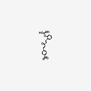 O=C(/C=C/c1ccc([N+](=O)[O-])cc1)/C=C/c1ccccc1OP(O)O